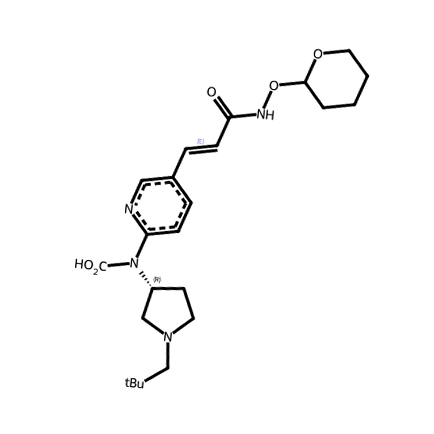 CC(C)(C)CN1CC[C@@H](N(C(=O)O)c2ccc(/C=C/C(=O)NOC3CCCCO3)cn2)C1